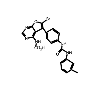 Cc1cccc(NC(=O)Nc2ccc(-c3c(Br)oc4ncnc(NC(=O)O)c34)cc2)c1